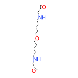 C(CCNCC1CO1)CCOCCCCCNCC1CO1